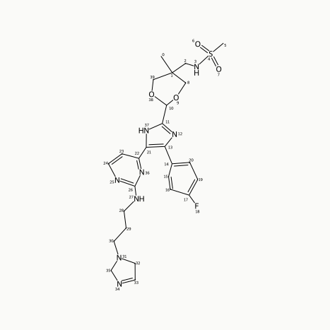 CC1(CNS(C)(=O)=O)COC(c2nc(-c3ccc(F)cc3)c(-c3ccnc(NCCCN4CC=NC4)n3)[nH]2)OC1